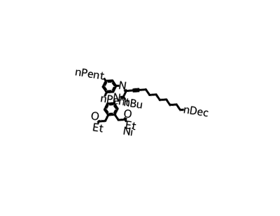 CCCCCCCCCCCCCCCCCCC#CC(=Nc1cc(CCCCC)cc(CCCCC)c1)C(CCCC)=Nc1ccc(CC(=O)CC)c(CC(=O)CC)c1.[Ni]